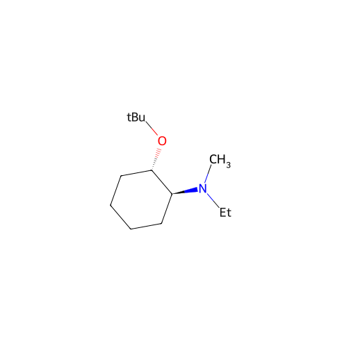 CCN(C)[C@H]1CCCC[C@@H]1OC(C)(C)C